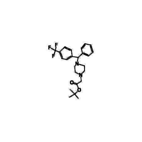 CC(C)(C)OC(=O)CN1CCN(C(c2ccccc2)c2ccc(C(F)(F)F)cc2)CC1